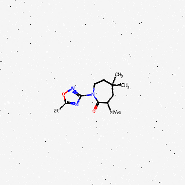 CCc1nc(N2CCC(C)(C)CC(NC)C2=O)no1